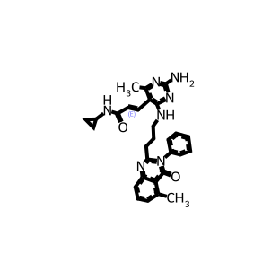 Cc1nc(N)nc(NCCCc2nc3cccc(C)c3c(=O)n2-c2ccccc2)c1/C=C/C(=O)NC1CC1